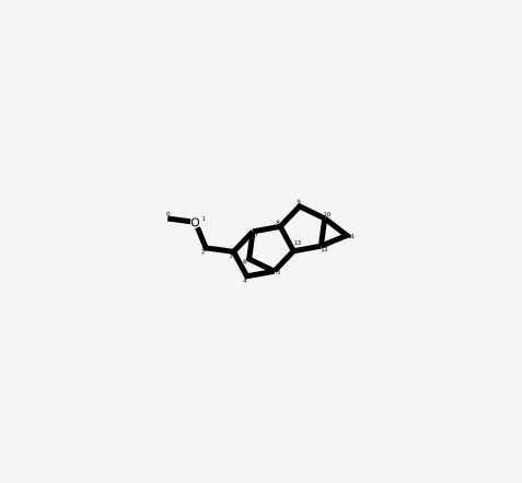 COCC1CC2CC1C1CC3CC3C21